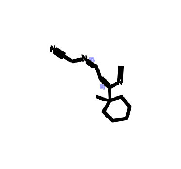 C=N/C(=C\C=N/CC#N)C1(C)CCCCC1